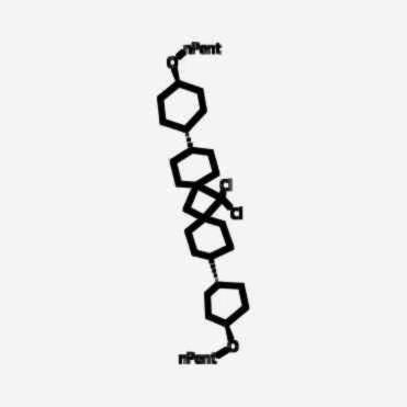 CCCCCO[C@H]1CC[C@H](C2CCC3(CC2)CC2(CCC([C@H]4CC[C@H](OCCCCC)CC4)CC2)C3(Cl)Cl)CC1